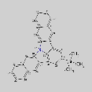 C[Si](C)(C)c1cc2c3cc4ccccc4cc3n3c4cc5ccccc5cc4c(c1)c23